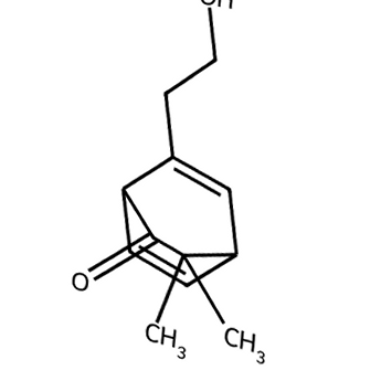 CC1(C)C(=O)C2C=CC1C=C2CCO